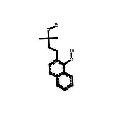 CCOc1c(CCC(C)(C)OCC)ccc2ccccc12